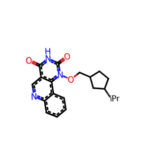 CC(C)C1CCC(COn2c(=O)[nH]c(=O)c3cnc4ccccc4c32)C1